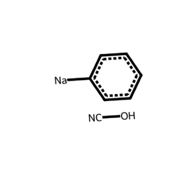 N#CO.[Na][c]1ccccc1